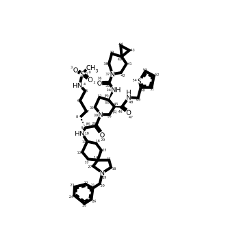 CS(=O)(=O)NCCCC[C@@H](NC1CCC2(CC1)CCN(Cc1ccccc1)C2)C(=O)N1CC[C@@H](NC(=O)N2CCC3(CC2)CC3)[C@@H](C(=O)NCc2cccs2)C1